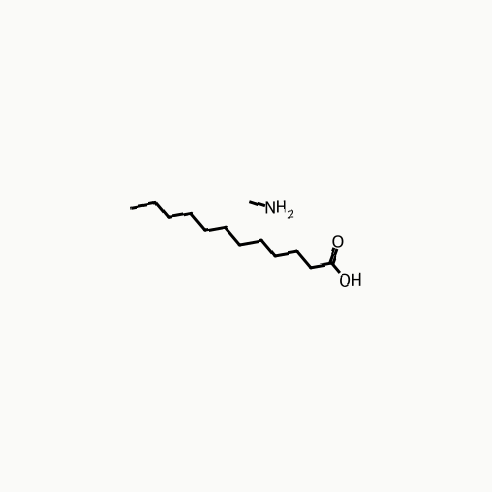 CCCCCCCCCCCC(=O)O.CN